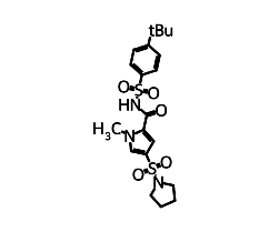 Cn1cc(S(=O)(=O)N2CCCC2)cc1C(=O)NS(=O)(=O)c1ccc(C(C)(C)C)cc1